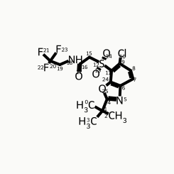 CC(C)(C)c1nc2ccc(Cl)c(S(=O)(=O)CC(=O)NCC(F)(F)F)c2o1